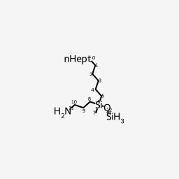 CCCCCCCCCCCC[Si](C)(CCCN)O[SiH3]